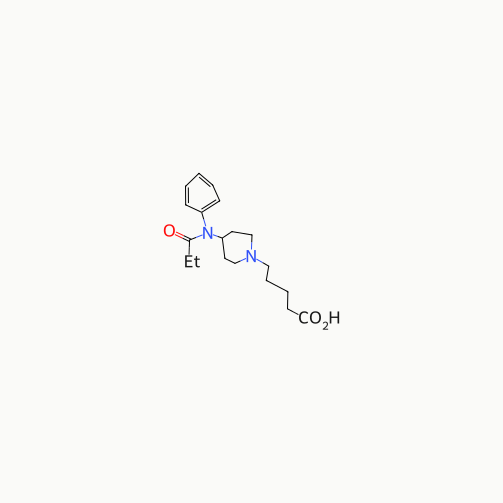 CCC(=O)N(c1ccccc1)C1CCN(CCCCC(=O)O)CC1